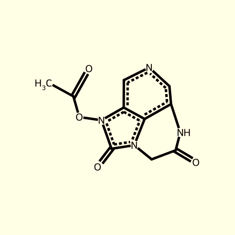 CC(=O)On1c(=O)n2c3c(cncc31)NC(=O)C2